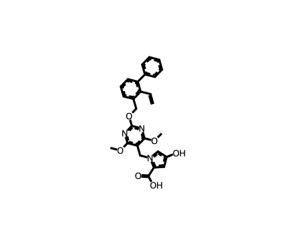 C=Cc1c(COc2nc(OC)c(Cn3cc(O)cc3C(=O)O)c(OC)n2)cccc1-c1ccccc1